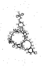 CO[C@]1(CN2CCN(CCS(C)(=O)=O)CC2)/C=C/C[C@H](C)[C@@H](C)S(=O)(=O)NC(=O)c2ccc3c(c2)N(CCCCc2cc(Cl)ccc2CO3)C[C@@H]2CC[C@H]21